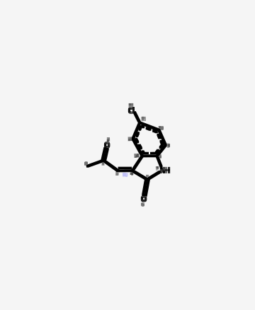 CC(=O)/C=C1/C(=O)Nc2ccc(Cl)cc21